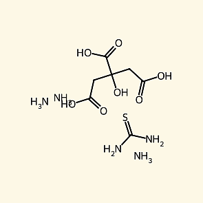 N.N.N.NC(N)=S.O=C(O)CC(O)(CC(=O)O)C(=O)O